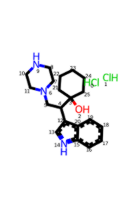 Cl.Cl.OC1(C(CN2CCNCC2)c2c[nH]c3ccccc23)CCCCC1